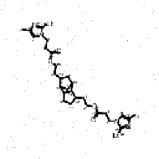 CCc1nc(C)cn1CCC(=O)OCCC1CC2CC1C1CCC(CCOC(=O)CCn3cc(C)nc3CC)C21